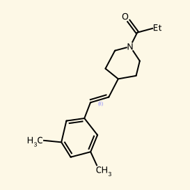 [CH2]CC(=O)N1CCC(/C=C/c2cc(C)cc(C)c2)CC1